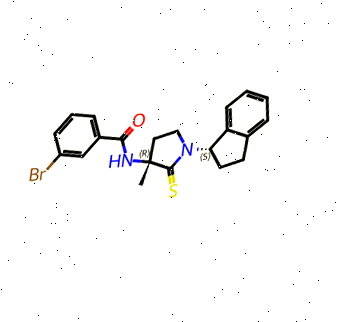 C[C@@]1(NC(=O)c2cccc(Br)c2)CCN([C@H]2CCc3ccccc32)C1=S